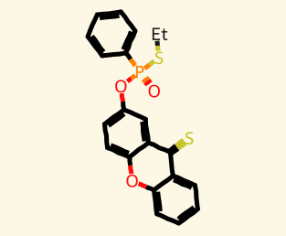 CCSP(=O)(Oc1ccc2oc3ccccc3c(=S)c2c1)c1ccccc1